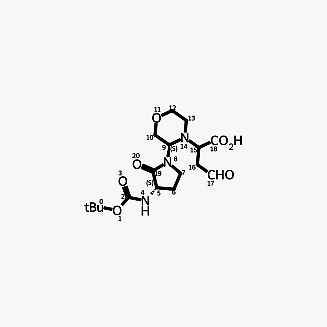 CC(C)(C)OC(=O)N[C@H]1CCN([C@H]2COCCN2C(CC=O)C(=O)O)C1=O